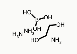 N.N.N.OB(O)O.OCCO